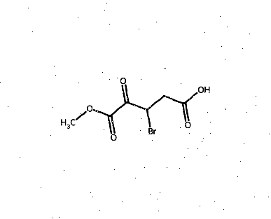 COC(=O)C(=O)C(Br)CC(=O)O